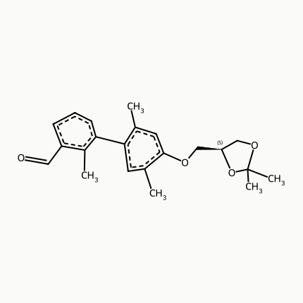 Cc1cc(-c2cccc(C=O)c2C)c(C)cc1OC[C@H]1COC(C)(C)O1